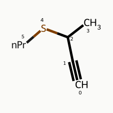 C#CC(C)SCC[CH2]